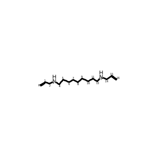 C=CCNCCCCCCCCCNCC=C